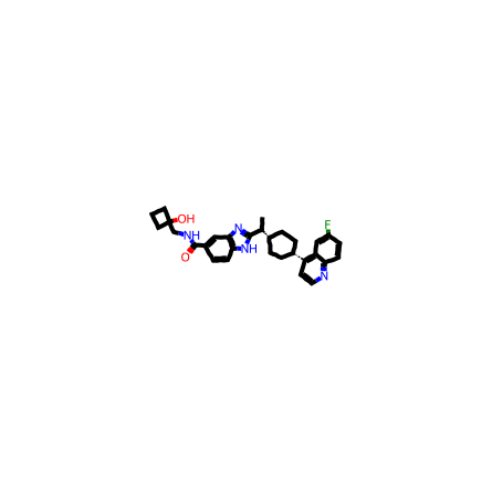 CC(c1nc2cc(C(=O)NCC3(O)CCC3)ccc2[nH]1)[C@H]1CC[C@@H](c2ccnc3ccc(F)cc32)CC1